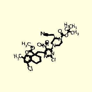 COC(=O)C1(Cc2nc(Cl)nc(N3CCN(C(=O)OC(C)(C)C)[C@@H](CC#N)C3)c2[N+](=O)[O-])CCCc2c(Cl)cc(C)cc21